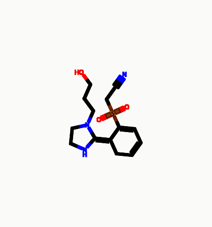 N#CCS(=O)(=O)C1=CC=CCC1=C1NCCN1CCCO